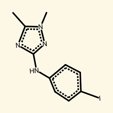 Cc1nc(Nc2ccc(I)cc2)nn1C